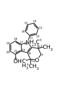 CC1(C)COC(C)(C)c2c1n(-c1ccccc1)c1cccc(O)c21